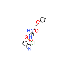 O=C(CCOc1ccccc1)N[C@H]1CCN(S(=O)(=O)c2cccc3cncc(Cl)c23)C1